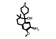 COc1cc2c(cc1N)C(O)(C1CCN(C)CC1)C(C)(C)CC2